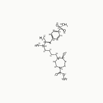 CCCOC(=O)N1CCC(=O)N(CCCCN(CCC)C(C)Cc2ccc(S(C)(=O)=O)cc2)CC1